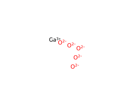 [Ga+3].[O-2].[O-2].[O-2].[O-2].[O-2]